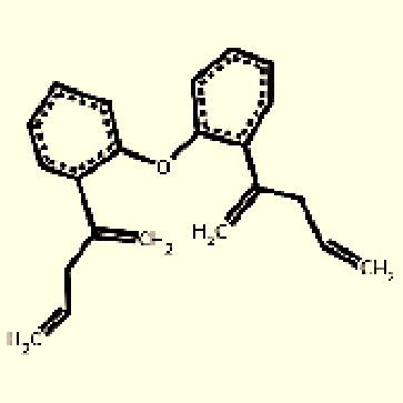 C=CCC(=C)c1ccccc1Oc1ccccc1C(=C)CC=C